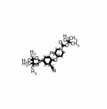 CC(C)(C)OC(=O)N1CC[C@@H](Oc2ccc(B3OC(C)(C)C(C)(C)O3)cc2C#N)[C@@H](F)C1